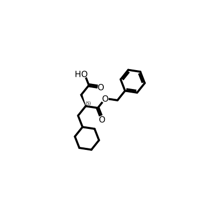 O=C(O)C[C@H](CC1CCCCC1)C(=O)OCc1ccccc1